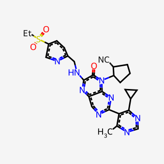 CCS(=O)(=O)c1ccc(CNc2nc3cnc(-c4c(C)ncnc4C4CC4)nc3n(C3CCCC3C#N)c2=O)nc1